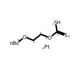 CCCCOCCOC(=S)S.[Pt]